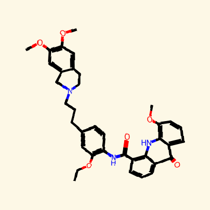 CCOc1cc(CCCN2CCc3cc(OC)c(OC)cc3C2)ccc1NC(=O)c1cccc2c(=O)c3cccc(OC)c3[nH]c12